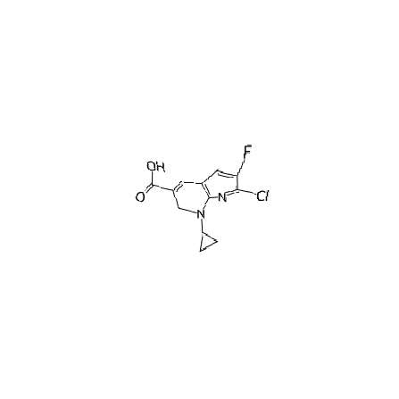 O=C(O)C1=Cc2cc(F)c(Cl)nc2N(C2CC2)C1